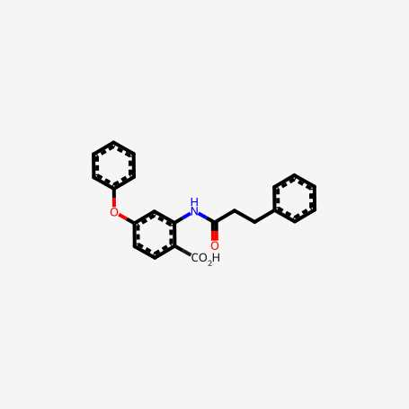 O=C(CCc1ccccc1)Nc1cc(Oc2ccccc2)ccc1C(=O)O